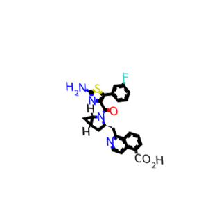 Nc1nc(C(=O)N2[C@H](Cc3nccc4c(C(=O)O)cccc34)C[C@H]3C[C@@H]32)c(-c2cccc(F)c2)s1